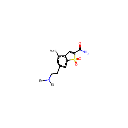 CCN(CC)CCc1cc(OC)c2c(c1)S(=O)(=O)C(C(N)=O)=C2